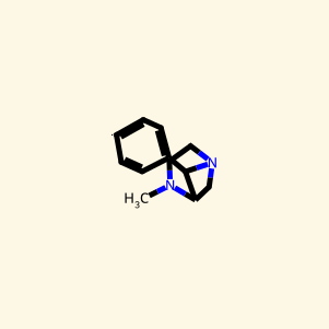 CN1CCN2CC1C2c1cc[c]cc1